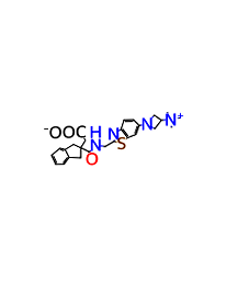 C[N+](C)(C)C1CN(c2ccc3nc(CNC(=O)C4(CC(=O)[O-])Cc5ccccc5C4)sc3c2)C1